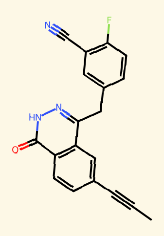 CC#Cc1ccc2c(=O)[nH]nc(Cc3ccc(F)c(C#N)c3)c2c1